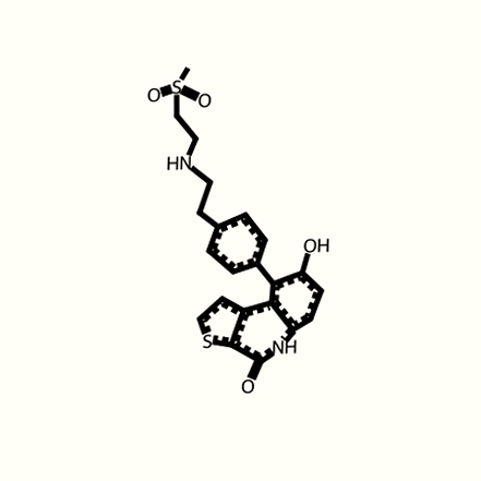 CS(=O)(=O)CCNCCc1ccc(-c2c(O)ccc3[nH]c(=O)c4sccc4c23)cc1